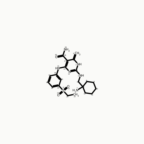 C=C1NC(NCC2(N)CCCCC2)=NC(Nc2cccc(S(=O)(=O)CC)c2)=C1C(N)=O